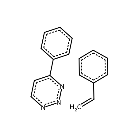 C=Cc1ccccc1.c1ccc(-c2ccnnn2)cc1